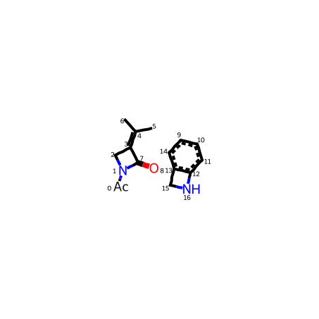 CC(=O)N1CC(=C(C)C)C1=O.c1ccc2c(c1)CN2